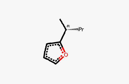 CC(C)[C@@H](C)c1ccco1